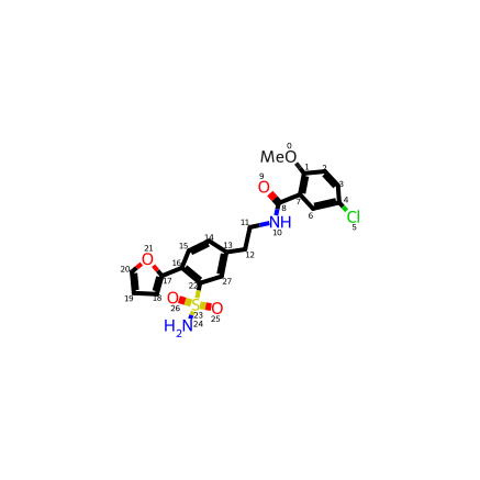 COc1ccc(Cl)cc1C(=O)NCCc1ccc(-c2ccco2)c(S(N)(=O)=O)c1